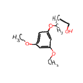 CCO.COc1cc(OC)cc(OC)c1